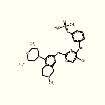 C[C@@H]1CN(c2cc(Nc3ncc(C#N)c(Nc4cccc(N=S(C)(C)=O)n4)n3)cc3c2CCN(C)C3)C[C@H](C)O1